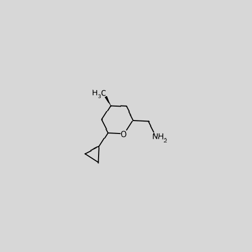 C[C@H]1CC(CN)OC(C2CC2)C1